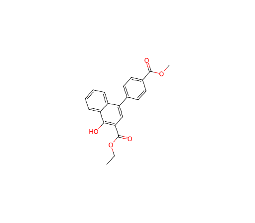 CCOC(=O)c1cc(-c2ccc(C(=O)OC)cc2)c2ccccc2c1O